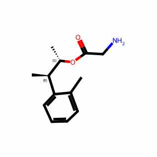 Cc1ccccc1[C@@H](C)[C@H](C)OC(=O)CN